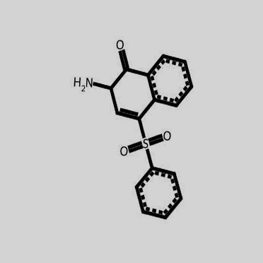 NC1C=C(S(=O)(=O)c2ccccc2)c2ccccc2C1=O